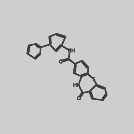 O=C(Nc1cccc(-c2ccccc2)c1)c1ccc2c(c1)NC(=O)c1ccccc1S2